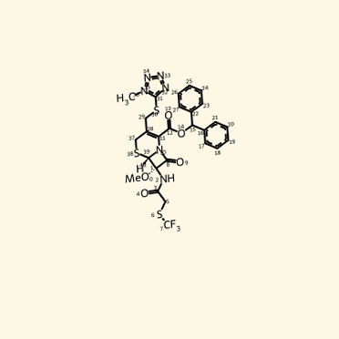 CO[C@@]1(NC(=O)CSC(F)(F)F)C(=O)N2C(C(=O)OC(c3ccccc3)c3ccccc3)=C(CSc3nnnn3C)CS[C@H]21